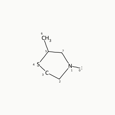 [C]N1CCSC(C)C1